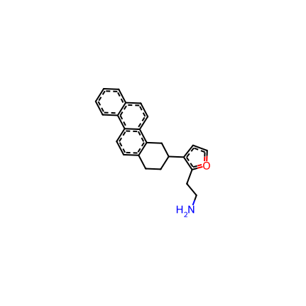 NCCc1occc1C1CCc2ccc3c(ccc4ccccc43)c2C1